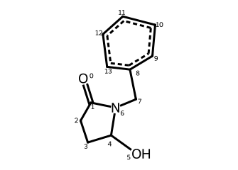 O=C1CCC(O)N1Cc1ccccc1